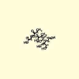 C=CC(=O)O.C=CC(=O)O.C=CC(=O)O.CCO.OCCCC(CO)CO